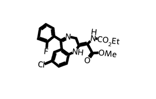 CCOC(=O)NC(C(=O)OC)=C1CN=C(c2ccccc2F)c2cc(Cl)ccc2N1